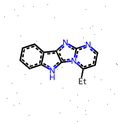 CCc1ccnc2nc3c4ccccc4[nH]c3n12